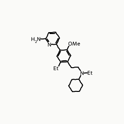 CCc1cc(-c2cccc(N)n2)c(OC)cc1CCN(CC)C1CCCCC1